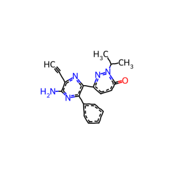 C#Cc1nc(-c2ccc(=O)n(C(C)C)n2)c(-c2ccccc2)nc1N